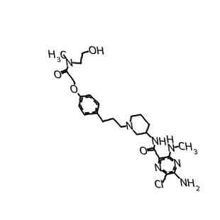 CNc1nc(N)c(Cl)nc1C(=O)NC1CCCN(CCCc2ccc(OCC(=O)N(C)CCO)cc2)C1